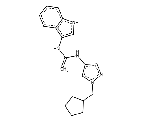 C=C(Nc1cnn(CC2CCCC2)c1)Nc1c[nH]c2ccccc12